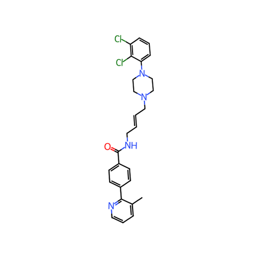 Cc1cccnc1-c1ccc(C(=O)NCC=CCN2CCN(c3cccc(Cl)c3Cl)CC2)cc1